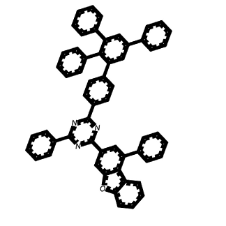 c1ccc(-c2cc(-c3ccccc3)c(-c3ccccc3)c(-c3ccc(-c4nc(-c5ccccc5)nc(-c5cc(-c6ccccc6)c6c(c5)oc5ccccc56)n4)cc3)c2)cc1